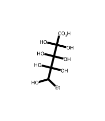 CCC(O)C(O)(O)C(O)(O)C(O)(O)C(=O)O